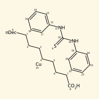 CCCCCCCCCCCCCCCCCC(=O)O.S=C(Nc1ccccc1)Nc1ccccc1.[Cu]